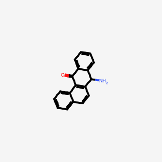 NC1c2ccccc2C(=O)c2c1ccc1ccccc21